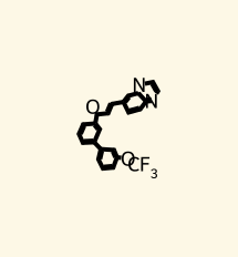 O=C(/C=C/c1ccc2nccnc2c1)c1cccc(-c2cccc(OC(F)(F)F)c2)c1